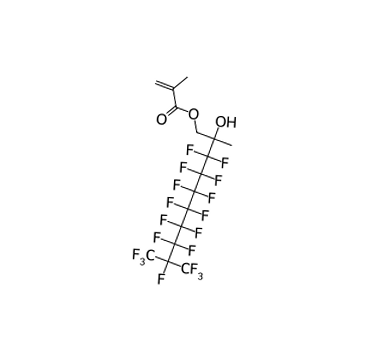 C=C(C)C(=O)OCC(C)(O)C(F)(F)C(F)(F)C(F)(F)C(F)(F)C(F)(F)C(F)(F)C(F)(C(F)(F)F)C(F)(F)F